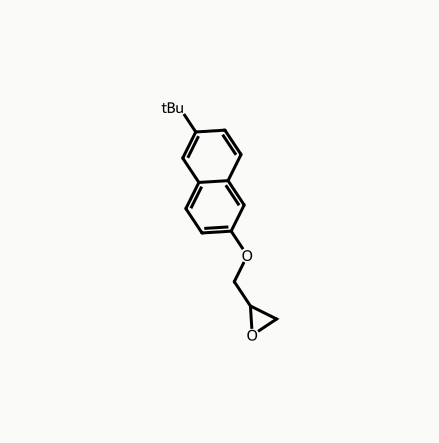 CC(C)(C)c1ccc2cc(OCC3CO3)ccc2c1